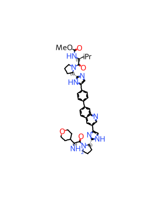 COC(=O)N[C@H](C(=O)N1CCC[C@H]1c1ncc(-c2ccc(-c3ccc4cc(-c5c[nH]c([C@@H]6CCCN6C(=O)[C@@H](N)C6CCOCC6)n5)cnc4c3)cc2)[nH]1)C(C)C